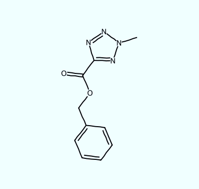 Cn1nnc(C(=O)OCc2ccccc2)n1